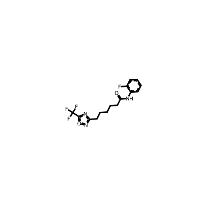 O=C(CCCCCc1noc(C(F)(F)F)n1)Nc1ccccc1F